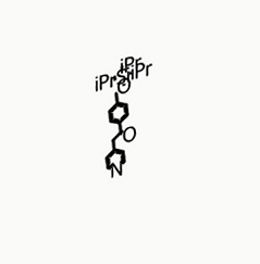 CC(C)[Si](OCc1ccc(C(=O)Cc2ccncc2)cc1)(C(C)C)C(C)C